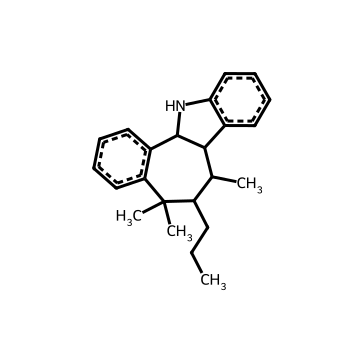 CCCC1C(C)C2c3ccccc3NC2c2ccccc2C1(C)C